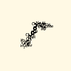 C=CCCN(Cc1nc(Cl)c(-c2ccc3c(c2)OCc2c-3ccc(-c3[nH]c(CN(CCC=C)C(=O)[C@@H](NC(=O)OC)C(C)C)nc3Cl)c2F)[nH]1)C(=O)[C@@H](NC(=O)OC)C(C)C